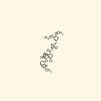 CNC(Oc1cccn2cc(C)nc12)c1c(Cl)ccc(C(=O)CNC(=O)C=Cc2ccc(OC)c(OC)c2)c1Cl